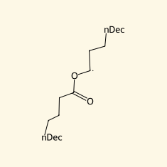 CCCCCCCCCCCC[CH]OC(=O)CCCCCCCCCCCCC